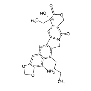 CCCCc1c2c(nc3cc4c(c(N)c13)OCO4)-c1cc3c(c(=O)n1C2)COC(=O)[C@]3(O)CC